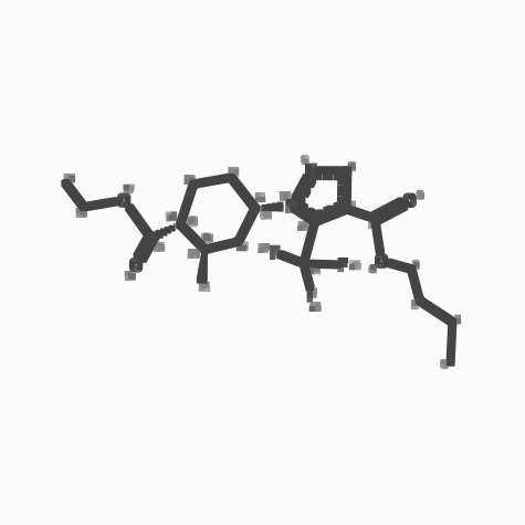 CCCCOC(=O)c1cnn([C@H]2CC[C@@H](C(=O)OCC)[C@H](C)C2)c1C(F)(F)F